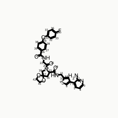 Nc1ncccc1-c1csc(CNC(=O)C2CC3(CN2C(=O)CNC(=O)c2ccc(Oc4ccc(F)cc4)cc2)OCCO3)c1